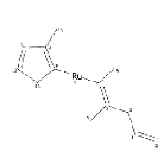 C=CCC(C)=[C](C)[Ru][C]1=C(C)C=CC1